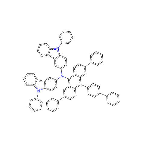 c1ccc(-c2ccc(-c3c4cc(-c5ccccc5)ccc4c(N(c4ccc5c(c4)c4ccccc4n5-c4ccccc4)c4ccc5c(c4)c4ccccc4n5-c4ccccc4)c4cc(-c5ccccc5)ccc34)cc2)cc1